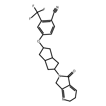 N#Cc1ccc(OC2CC3CC(N4CC5=NCCC=C5C4=O)CC3C2)cc1C(F)(F)F